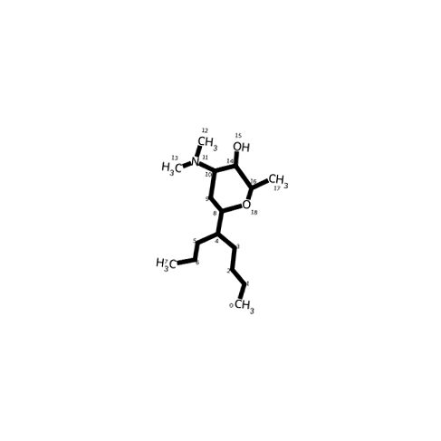 CCCCC(CCC)C1CC(N(C)C)C(O)C(C)O1